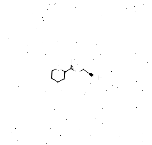 C#CCOC(I)C1CCCCO1